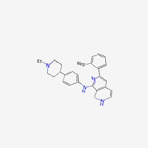 CCN1CCC(c2ccc(Nc3nc(-c4ccccc4SC)cc4c3CNC=C4)cc2)CC1